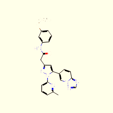 COSc1cccc(NC(=O)Cc2cc(-c3ccc4ncnn4c3)n(-c3cccc(C)n3)n2)c1